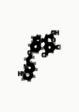 O=C(O)CC(c1cc(Cl)cc(Cl)c1)n1ncc2cc(OCCc3ccc4c(n3)NCCC4)ccc21